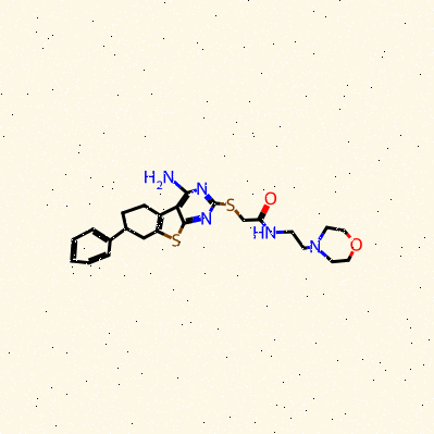 Nc1nc(SCC(=O)NCCN2CCOCC2)nc2sc3c(c12)CCC(c1ccccc1)C3